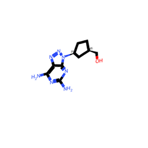 Nc1nc(N)c2nnn([C@H]3CC[C@@H](CO)C3)c2n1